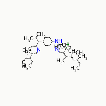 C=C/C(=C\C)C(=C)/C=N\C(=C/C)[C@H](C(=C)C)C1CCC(NC(=C)\N=C/C(=C(C)/C(C=C)=C/C(C)=C\C)C(C)(C)F)CC1